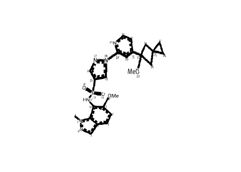 COc1ccc2cnn(C)c2c1NS(=O)(=O)c1cnn(-c2cc(C3(OC)CC4(CC4)C3)ccn2)c1